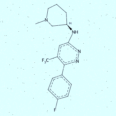 CN1CCC[C@@H](Nc2cc(C(F)(F)F)c(-c3ccc(F)cc3)nn2)C1